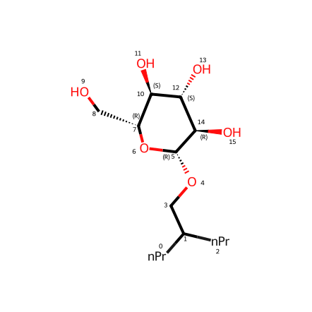 CCCC(CCC)CO[C@@H]1O[C@H](CO)[C@@H](O)[C@H](O)[C@H]1O